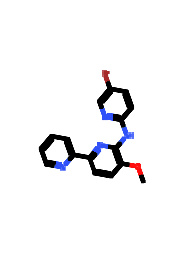 COc1ccc(-c2ccccn2)nc1Nc1ccc(Br)cn1